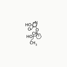 CCCC(C)(O)C1=C(COc2cncc(O)c2C=O)CCCC1